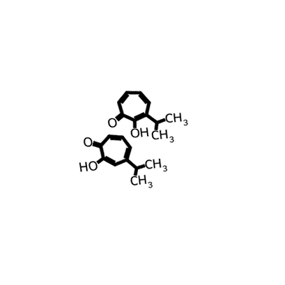 CC(C)c1cccc(=O)c(O)c1.CC(C)c1ccccc(=O)c1O